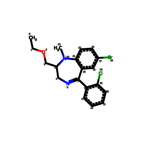 CCOCC1CN=C(c2ccccc2Cl)c2cc(Br)ccc2N1C